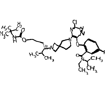 CCN(C(=O)c1cc(F)ccc1Oc1nnc(Cl)nc1N1CCC2(C1)CN([C@@H](CCCOC(=O)NC(C)(C)C)C(C)C)C2)C(C)C